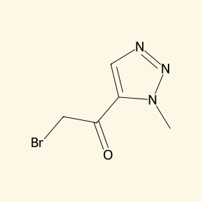 Cn1nncc1C(=O)CBr